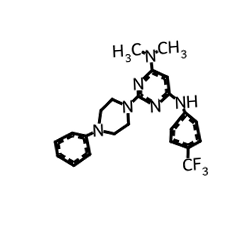 CN(C)c1cc(Nc2ccc(C(F)(F)F)cc2)nc(N2CCN(c3ccccc3)CC2)n1